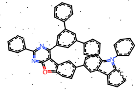 c1ccc(-c2cc(-c3ccccc3)cc(-c3nc(-c4ccccc4)nc4oc5ccc(-c6ccc7c(c6)c6ccccc6n7-c6ccccc6)cc5c34)c2)cc1